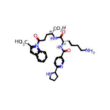 NCCCC[C@H](NC(=O)c1ccc(C2CCCN2)nc1)C(=O)N[C@H](CCC(=O)n1c(C(=O)O)cc2ccccc21)C(=O)O